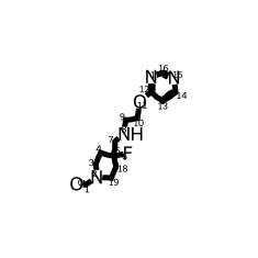 O=CN1CCC(F)(CNCCOc2ccncn2)CC1